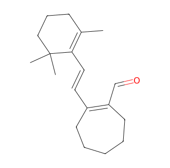 CC1=C(C=CC2=C(C=O)CCCCC2)C(C)(C)CCC1